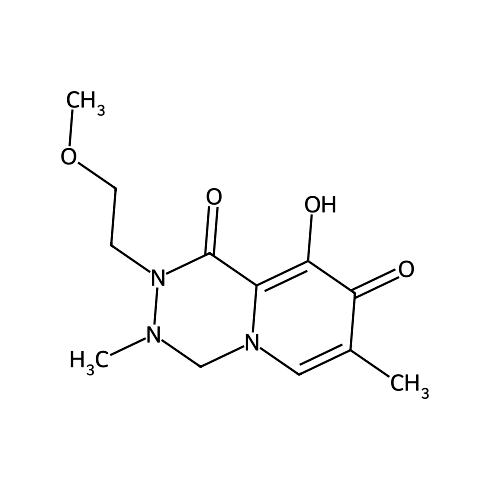 COCCN1C(=O)c2c(O)c(=O)c(C)cn2CN1C